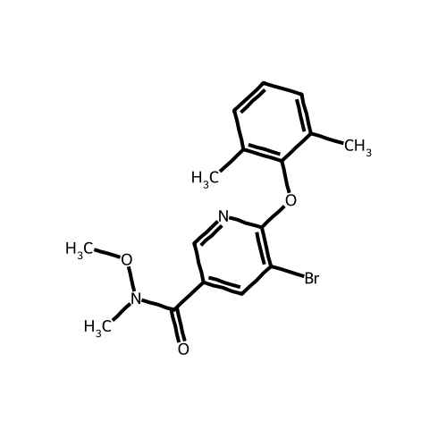 CON(C)C(=O)c1cnc(Oc2c(C)cccc2C)c(Br)c1